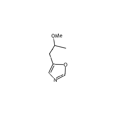 COC(C)Cc1cnco1